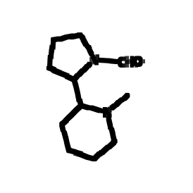 CN1CCCCC1C1CCCN1[C]=O